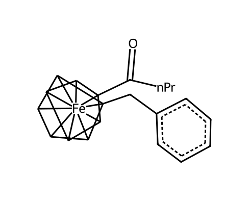 CCCC(=O)[C]12[CH]3[CH]4[CH]5[CH]1[Fe]45321678[CH]2[CH]1[CH]6[C]7(Cc1ccccc1)[CH]28